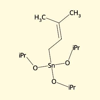 CC(C)=C[CH2][Sn]([O]C(C)C)([O]C(C)C)[O]C(C)C